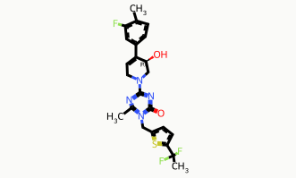 Cc1ccc(C2=CCN(c3nc(C)n(Cc4ccc(C(C)(F)F)s4)c(=O)n3)C[C@@H]2O)cc1F